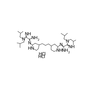 CC(C)CN(CC(C)C)C(=N)C(N)=NC1CC(CCCC2CCNC(N=C(N)C(=N)N(CC(C)C)CC(C)C)C2)CCN1.Cl.Cl